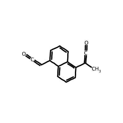 CC(=C=O)c1cccc2c(C=C=O)cccc12